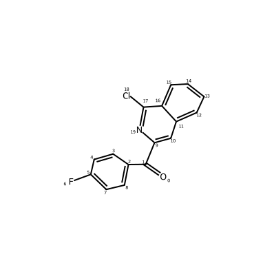 O=C(c1ccc(F)cc1)c1cc2ccccc2c(Cl)n1